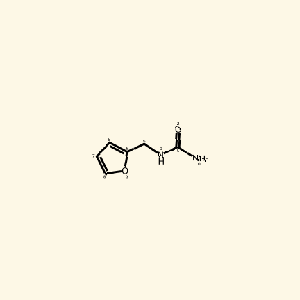 [NH]C(=O)NCc1ccco1